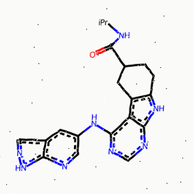 CC(C)NC(=O)C1CCc2[nH]c3ncnc(Nc4cnc5[nH]ncc5c4)c3c2C1